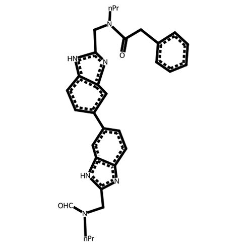 CCCN(C=O)Cc1nc2ccc(-c3ccc4[nH]c(CN(CCC)C(=O)Cc5ccccc5)nc4c3)cc2[nH]1